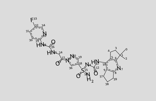 CC1(C)CCc2c1nc1c(c2NC(=O)N=S(N)(=O)c2cnn(C(=O)CNC(=O)Nc3ccc(F)cn3)c2)CCC1